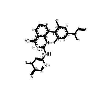 C=CC(C)c1cc(C)c(-c2cccc3c(=O)[nH]c(NC4=CC(C)C(=C)C=N4)nc23)c(C)c1